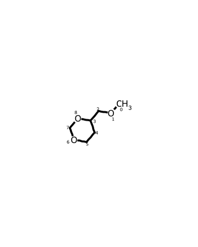 COCC1CCOCO1